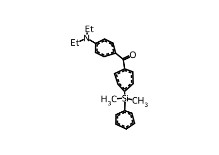 CCN(CC)c1ccc(C(=O)c2ccc([Si](C)(C)c3ccccc3)cc2)cc1